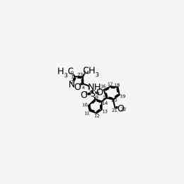 Cc1noc(NS(=O)(=O)c2ccccc2-c2ccccc2C=O)c1C